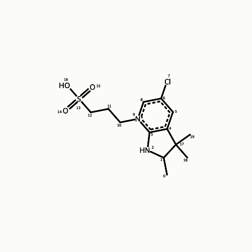 CC1Nc2c(cc(Cl)c[n+]2CCCS(=O)(=O)O)C1(C)C